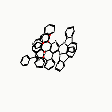 c1ccc(-c2cc(-c3ccccc3)nc(-c3ccccc3-c3c(-n4c5ccccc5c5ccccc54)c(-n4c5ccccc5c5ccccc54)nc(-n4c5ccccc5c5cnccc54)c3-n3c4ccccc4c4ccccc43)n2)cc1